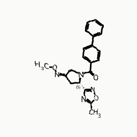 CON=C1C[C@@H](c2noc(C)n2)N(C(=O)c2ccc(-c3ccccc3)cc2)C1